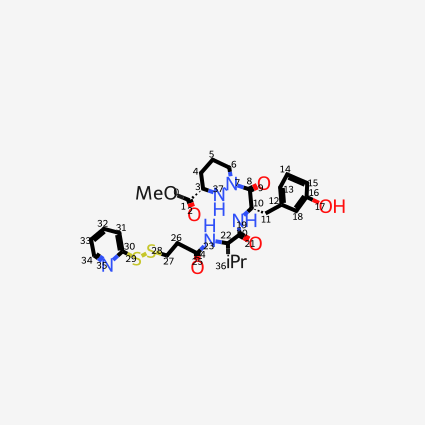 COC(=O)[C@@H]1CCCN(C(=O)[C@H](Cc2cccc(O)c2)NC(=O)C(NC(=O)CCSSc2ccccn2)C(C)C)N1